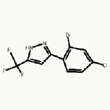 FC(F)(F)c1cc(-c2ccc(Cl)cc2Br)n[nH]1